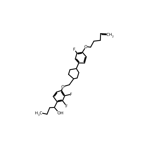 C=CCCCOc1ccc(C2CCC(COc3ccc(C(O)CCC)c(F)c3F)CC2)cc1F